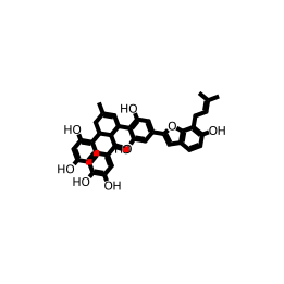 CC(C)=CCc1c(O)ccc2cc(-c3cc(O)c(C4C=C(C)CC(c5ccc(O)cc5O)C4C(=O)c4ccc(O)c(O)c4)c(O)c3)oc12